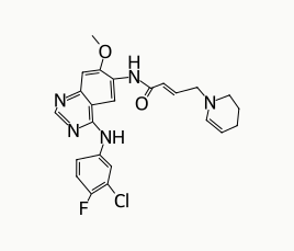 COc1cc2ncnc(Nc3ccc(F)c(Cl)c3)c2cc1NC(=O)C=CCN1C=CCCC1